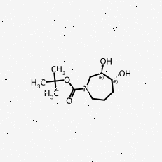 CC(C)(C)OC(=O)N1CCC[C@@H](O)[C@H](O)C1